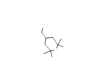 CC1(C)CC(CO)CC(C)(C)O1